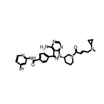 CC(C)c1ccnc(NC(=O)c2ccc(-c3nn([C@@H]4CCCN(C(=O)/C=C/CN(C)C5CC5)C4)c4ncnc(N)c34)cc2)c1